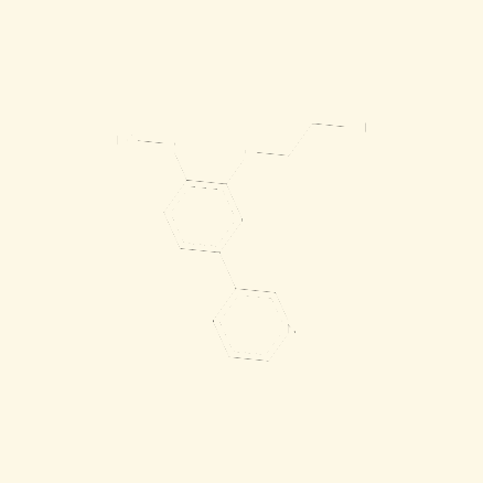 CCCOc1cc(-c2c[c]cnc2)ccc1OC